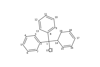 ClC(c1ccccc1)(c1ccccc1)C1C=CC=CC1